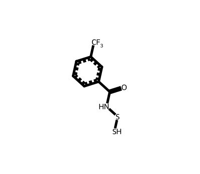 O=C(NSS)c1cccc(C(F)(F)F)c1